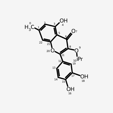 Cc1cc(O)c2c(=O)c(OC(C)C)c(-c3ccc(O)c(O)c3)oc2c1